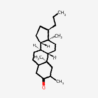 CCC[C@@H]1CC[C@H]2[C@@H]3CCC4CC(=O)C(C)C[C@]4(C)[C@H]3CC[C@]12C